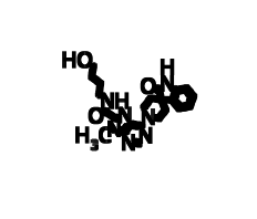 Cn1c(C(=O)NCCCCO)nc2c(N3CCC4(CC3)C(=O)Nc3ccccc34)ncnc21